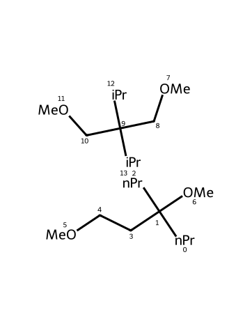 CCCC(CCC)(CCOC)OC.COCC(COC)(C(C)C)C(C)C